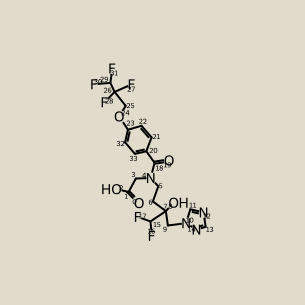 O=C(O)CN(CCC(O)(Cn1cncn1)C(F)F)C(=O)c1ccc(OCC(F)(F)C(F)F)cc1